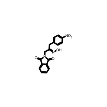 O=C1c2ccccc2C(=O)N1CC(Cc1ccc([N+](=O)[O-])cc1)=NO